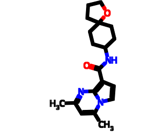 Cc1cc(C)n2ccc(C(=O)NC3CCC4(CCCO4)CC3)c2n1